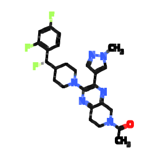 CC(=O)N1CCc2nc(N3CCC([C@H](F)c4ccc(F)cc4F)CC3)c(-c3cnn(C)c3)nc2C1